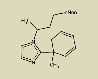 CCCCCCCCCCCC(C)n1ccnc1C1(C)C=CC=CC1